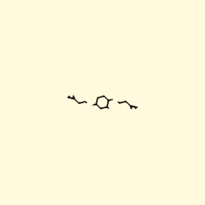 ClC1CC(OCCC2CO2)CCC1OCCC1CO1